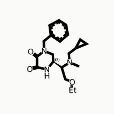 CCOCC([C@@H]1CN(Cc2ccccc2)C(=O)C(=O)N1)N(C)CC1CC1